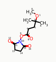 COC(C)(C)CCC(=O)ON1C(=O)CCC1=O